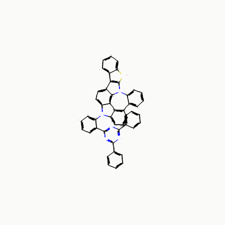 c1ccc(-c2nc(-c3ccccc3)nc(-c3ccccc3-n3c4cccc5c6ccccc6n6c7sc8ccccc8c7c7ccc3c(c54)c76)n2)cc1